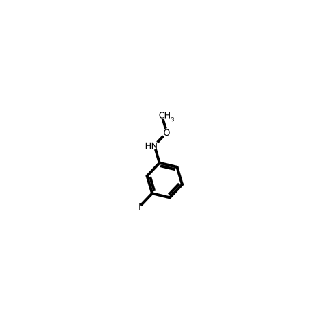 CONc1cccc(I)c1